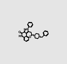 O=C(Cc1c2c(nn1-c1ccccc1)c(=O)[nH]c1ccccc12)N1CCN(Cc2ccccc2)CC1